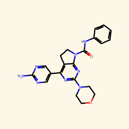 Nc1ncc(-c2nc(N3CCOCC3)nc3c2CCN3C(=O)Nc2ccccc2)cn1